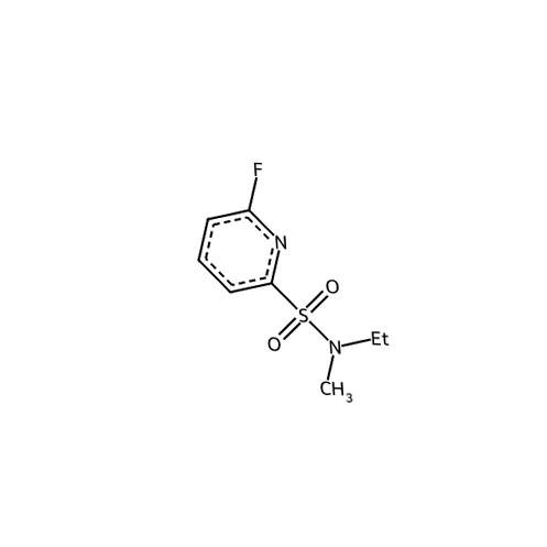 CCN(C)S(=O)(=O)c1cccc(F)n1